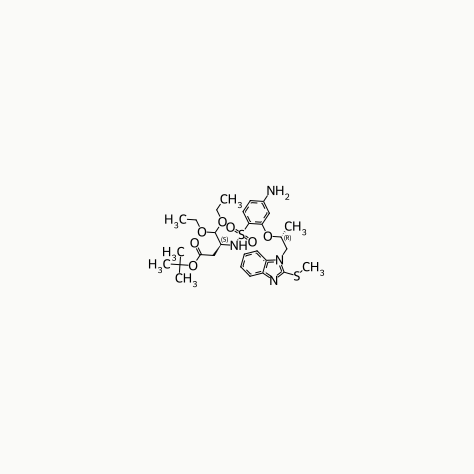 CCOC(OCC)[C@H](CC(=O)OC(C)(C)C)NS(=O)(=O)c1ccc(N)cc1O[C@H](C)Cn1c(SC)nc2ccccc21